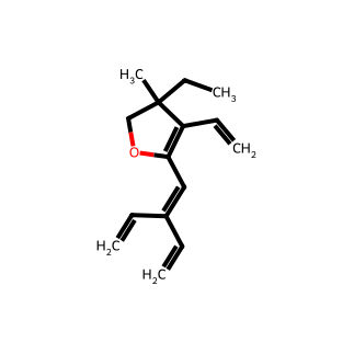 C=CC(C=C)=CC1=C(C=C)C(C)(CC)CO1